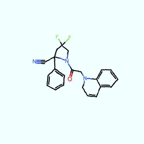 N#CC1(c2ccccc2)CC(F)(F)CN1C(=O)CN1CC=Cc2ccccc21